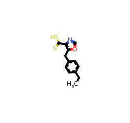 CCc1ccc(Cc2ocnc2C(=S)S)cc1